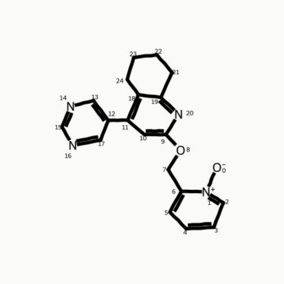 [O-][n+]1ccccc1COc1cc(-c2cncnc2)c2c(n1)CCCC2